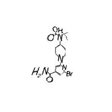 CC(C)(C)N(C(=O)O)C1CCN(c2cc(C(N)=O)cc(Br)n2)CC1